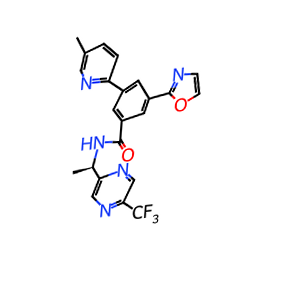 Cc1ccc(-c2cc(C(=O)N[C@H](C)c3cnc(C(F)(F)F)cn3)cc(-c3ncco3)c2)nc1